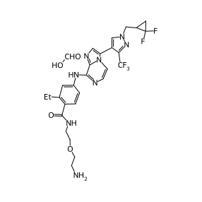 CCc1cc(Nc2nccn3c(-c4cn(CC5CC5(F)F)nc4C(F)(F)F)cnc23)ccc1C(=O)NCCOCCN.O=CO